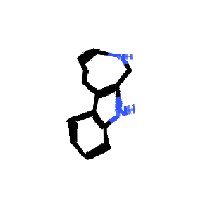 [c]1cccc2[nH]c3c(c12)CCCNC3